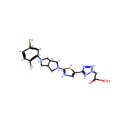 O=C(O)Cn1nnc(-c2cnc(N3CC4CN(c5cc(F)ccc5Br)CC4C3)s2)n1